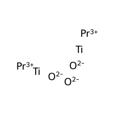 [O-2].[O-2].[O-2].[Pr+3].[Pr+3].[Ti].[Ti]